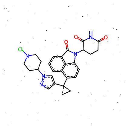 O=C1CCC(N2C(=O)c3cccc4c(C5(c6cnn(C7CCN(Cl)CC7)c6)CC5)ccc2c34)C(=O)N1